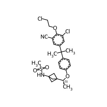 C[C@H](Oc1ccc(C(C)(C)c2cc(Cl)c(OCCCl)c(C#N)c2)cc1)C12CC(NS(C)(=O)=O)(C1)C2